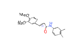 COc1ccc(/C=C/C(=O)Nc2ccc(C)c(C)c2)cc1OC